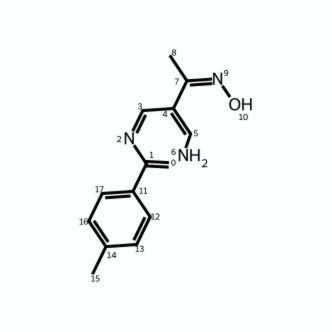 C=C(\N=C/C(=C\N)C(/C)=N\O)c1ccc(C)cc1